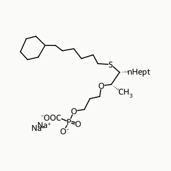 CCCCCCC[C@@H](SCCCCCCC1CCCCC1)[C@H](C)OCCCOP(=O)([O-])C(=O)[O-].[Na+].[Na+]